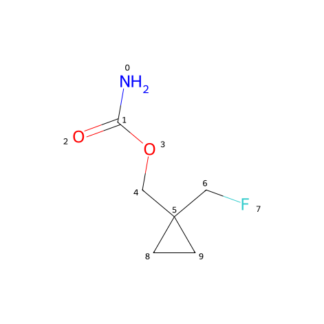 NC(=O)OCC1(CF)CC1